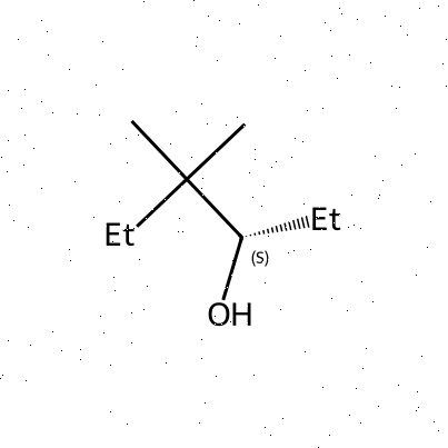 CC[C@H](O)C(C)(C)CC